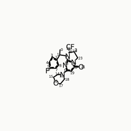 CC(c1ccc(F)cc1)N1c2nc(N3CCOCC3)cc(=O)n2CC[C@H]1C(F)(F)F